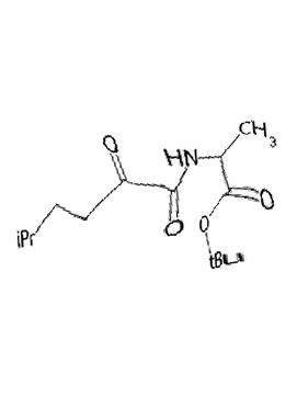 CC(C)CCC(=O)C(=O)NC(C)C(=O)OC(C)(C)C